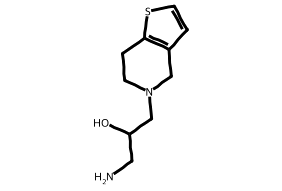 NCC(O)CN1CCc2sccc2C1